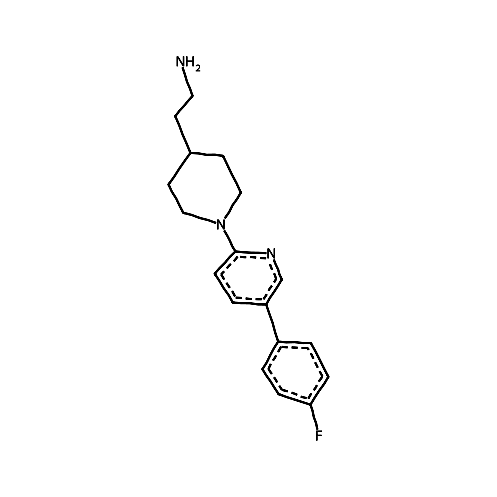 NCCC1CCN(c2ccc(-c3ccc(F)cc3)cn2)CC1